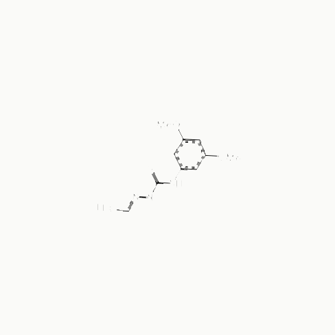 C/C=N/NC(=S)Nc1cc(OC)cc(OC)c1